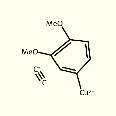 COc1cc[c]([Cu+2])cc1OC.[C-]#[C-]